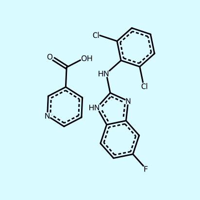 Fc1ccc2[nH]c(Nc3c(Cl)cccc3Cl)nc2c1.O=C(O)c1cccnc1